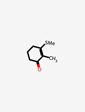 CSC1=C(C)C(=O)CCC1